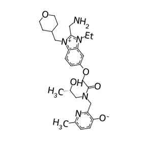 CCn1c(CN)[n+](CC2CCOCC2)c2ccc(OCC(=O)N(Cc3nc(C)ccc3[O-])C[C@H](C)O)cc21